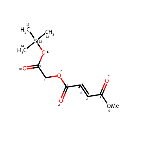 COC(=O)/C=C/C(=O)OCC(=O)O[Si](C)(C)C